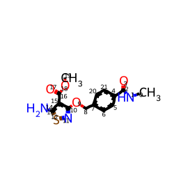 CNC(=O)c1ccc(COc2nsc(N)c2C(=O)OC)cc1